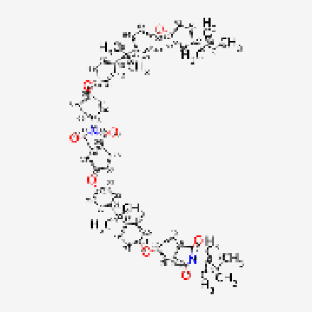 C=C(C)C(C)(C)N1C(=O)c2ccc(Oc3ccc(C(C)(C)c4ccc(Oc5ccc6c(c5)C(=O)N(c5ccc(Oc7ccc(C(C)(C)c8ccc(Oc9ccc(C(C)(C)CC)cc9)cc8)cc7)cc5)C6=O)cc4)cc3)cc2C1=O